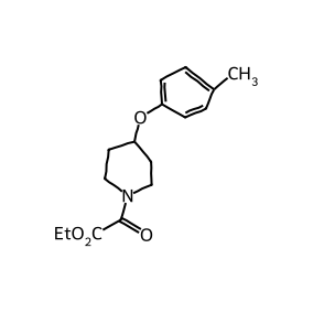 CCOC(=O)C(=O)N1CCC(Oc2ccc(C)cc2)CC1